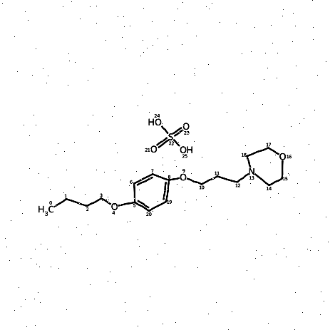 CCCCOc1ccc(OCCCN2CCOCC2)cc1.O=S(=O)(O)O